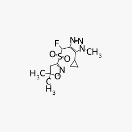 Cn1nnc(C(F)S(=O)(=O)C2=NOC(C)(C)C2)c1C1CC1